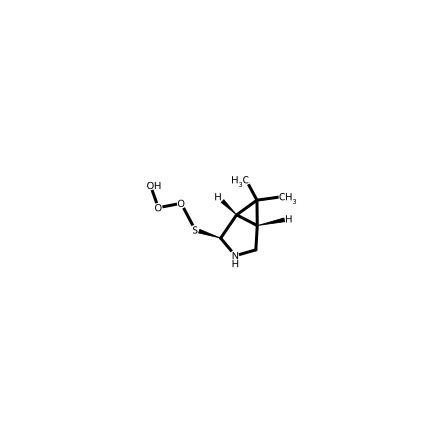 CC1(C)[C@@H]2[C@H]1CN[C@H]2SOOO